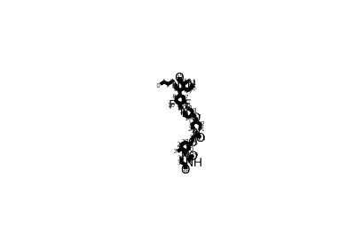 CCCCn1cc(-c2cc(F)c(CN3CCC(OC4CCN(C(=O)COc5ccc(C)c(N6CCC(=O)NC6=O)c5)CC4)CC3)c(F)c2)c2ccncc2c1=O